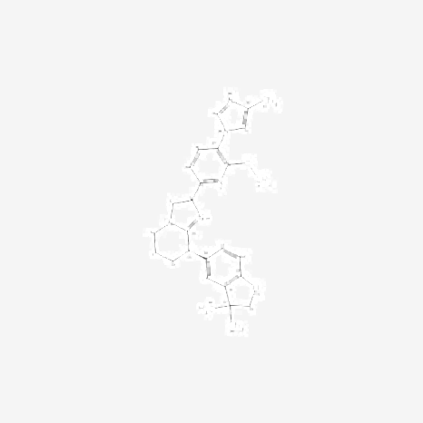 COc1nc(C2CN3CCC[C@H](c4ccc5c(c4)C(C)(C)CO5)C3=N2)ccc1-n1cnc(C)c1